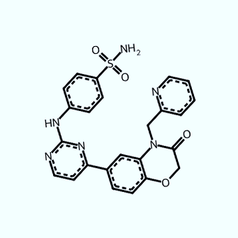 NS(=O)(=O)c1ccc(Nc2nccc(-c3ccc4c(c3)N(Cc3ccccn3)C(=O)CO4)n2)cc1